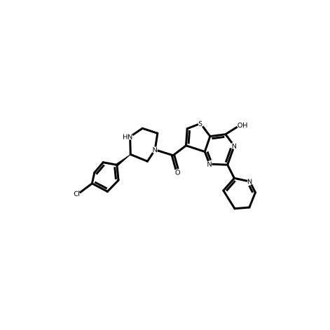 O=C(c1csc2c(O)nc(C3=CCCC=N3)nc12)N1CCN[C@H](c2ccc(Cl)cc2)C1